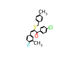 Cc1ccc(CS/C(=C/c2ccc(F)c(C)c2)C(=O)c2ccc(Cl)cc2)cc1